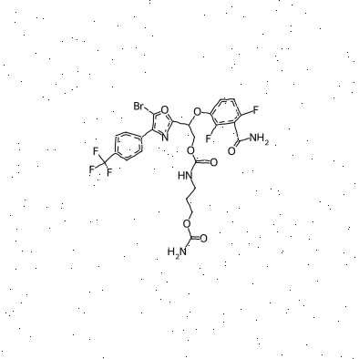 NC(=O)OCCCNC(=O)OCC(Oc1ccc(F)c(C(N)=O)c1F)c1nc(-c2ccc(C(F)(F)F)cc2)c(Br)o1